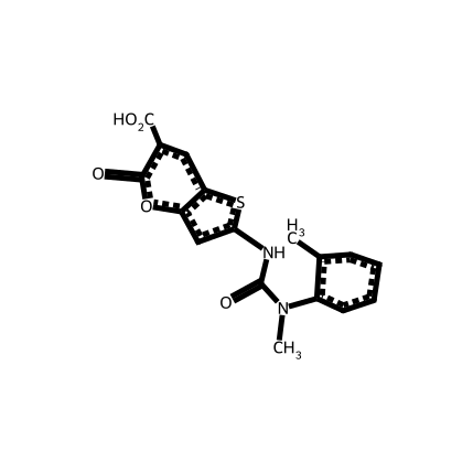 Cc1ccccc1N(C)C(=O)Nc1cc2oc(=O)c(C(=O)O)cc2s1